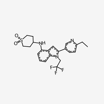 CCc1ccc(-c2cc3c(NC4CCS(=O)(=O)CC4)cccc3n2CC(F)(F)F)cn1